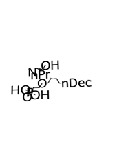 CCCCCCCCCCCCC(CCC)COCCP(=O)(O)O.C[N+](C)(C)CCO